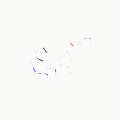 CCC1CN(C(=O)N2CCCC2)CC1c1nnc2cnc3[nH]ccc3n12